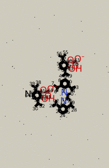 CC(=Nc1c(C(C)C)cccc1C(C)C)C(C)=Nc1c(C(C)C)cccc1C(C)C.CC(C)c1ccc(C(C)C)c(OC(=O)[O-])c1O.CC(C)c1ccc(C(C)C)c(OC(=O)[O-])c1O.[Ni+2]